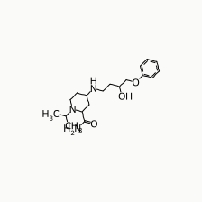 CC(C)N1CCC(NCCC(O)COc2ccccc2)CC1C(N)=O